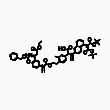 CCOC(=O)C[C@H](NC(=O)OCc1ccccc1)c1cccc(NC(=O)OCCc2ccc(C(Nc3ccc4c(N(C(=O)OC(C)(C)C)C(=O)OC(C)(C)C)cccc4c3)C(=O)O)cc2C)c1